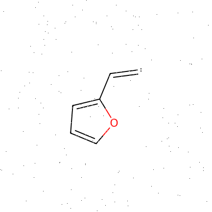 [C]=Cc1ccco1